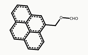 O=COCc1cc2cccc3ccc4cccc1c4c32